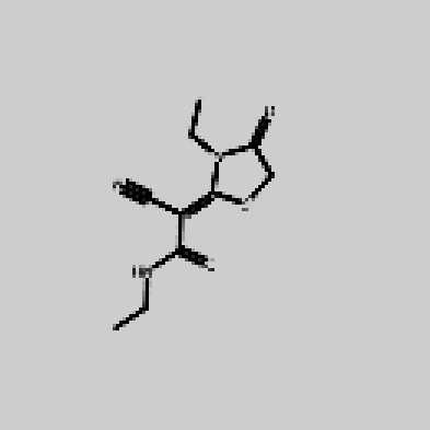 CCNC(=O)C(C#N)=C1SCC(=O)N1CC